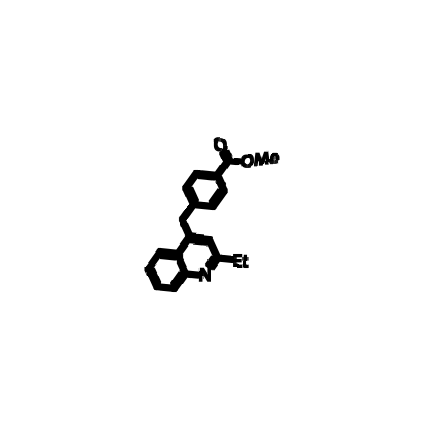 CCc1cc(Cc2ccc(C(=O)OC)cc2)c2ccccc2n1